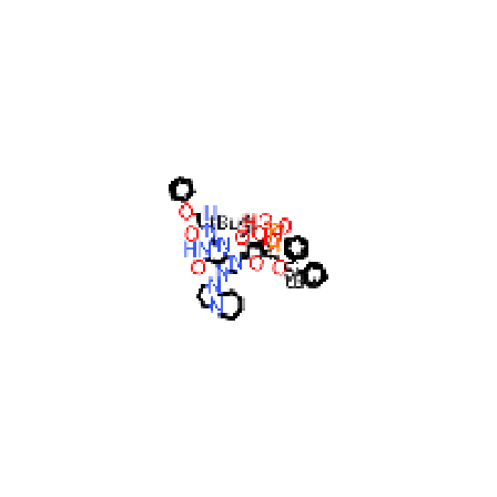 C1CCC2=NCCCN2CC1.CC(C)(C)[Si](C)(C)O[C@H]1[C@H](n2cnc3c(=O)[nH]c(NC(=O)COc4ccccc4)nc32)O[C@H](CO[Si](c2ccccc2)(c2ccccc2)C(C)(C)C)[C@@]1(O)O[PH](=O)O